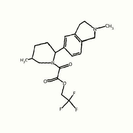 CC1CCC(c2ccc3c(c2)CCN(C)C3)N(C(=O)C(=O)OCC(F)(F)F)C1